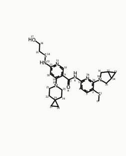 CSc1ccc(NC(=O)c2cnc(NSCCO)cc2N2CCC3(CC2)CC3)nc1N1CC2CC2C1